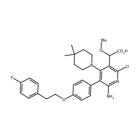 CC1(C)CCN(c2c(-c3ccc(OCCc4ccc(F)cc4)cc3)c(N)nc(Cl)c2C(OC(C)(C)C)C(=O)O)CC1